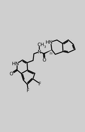 CN(CCc1c[nH]c(=O)c2cc(F)c(F)cc12)C(=O)[C@@H]1Cc2ccccc2CN1